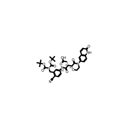 CC(C)(C)OC(=O)N(Cc1cc(NC(=O)[C@H](CC(=O)O)[C@H]2OCCN(c3ccc4[nH]c(=O)ccc4c3)C2=O)ccc1C#N)C(=O)OC(C)(C)C